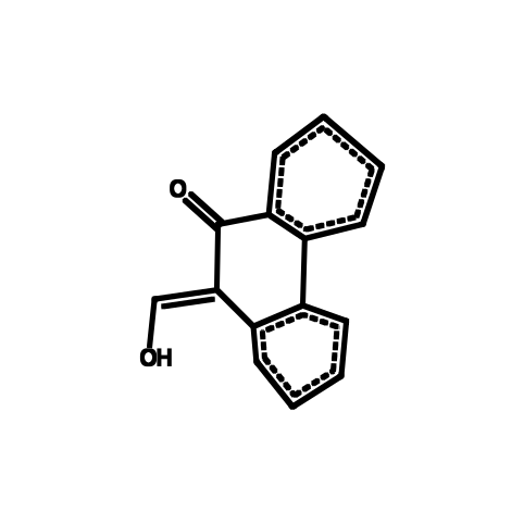 O=C1/C(=C/O)c2ccccc2-c2ccccc21